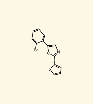 Brc1ccccc1-c1cnc(-c2cccs2)o1